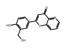 O=c1cc(-c2ccc(O)c(CO)c2)oc2cccnc12